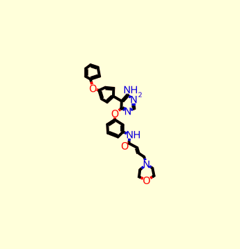 Nc1ncnc(Oc2cccc(NC(=O)C=CCN3CCOCC3)c2)c1-c1ccc(Oc2ccccc2)cc1